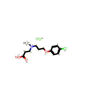 CN(CCCOc1ccc(Cl)cc1)CCC(=O)O.Cl